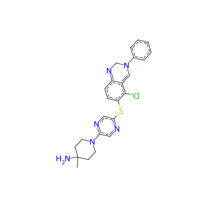 CC1(N)CCN(c2cnc(Sc3ccc4c(c3Cl)=CN(c3ccccc3)CN=4)cn2)CC1